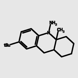 CC(C)(C)c1ccc2c(c1)CC1CCCCC1(C)N2N